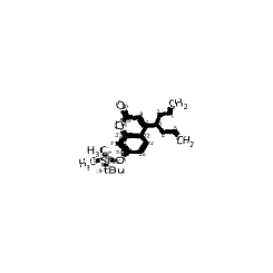 C=CCC(CC=C)c1cc(=O)oc2cc(O[Si](C)(C)C(C)(C)C)ccc12